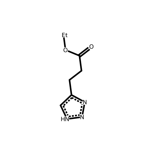 CCOC(=O)CCc1c[nH]nn1